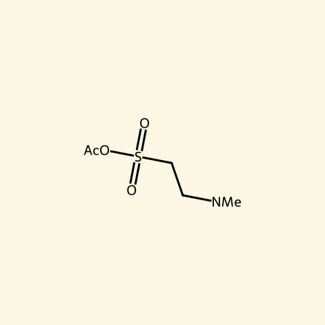 CNCCS(=O)(=O)OC(C)=O